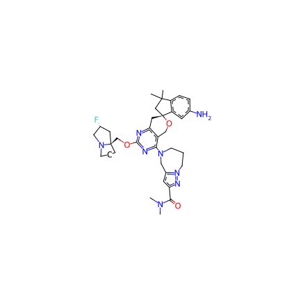 CN(C)C(=O)c1cc2n(n1)CCCN(c1nc(OC[C@@]34CCCN3C[C@H](F)C4)nc3c1CO[C@]1(C3)CC(C)(C)c3ccc(N)cc31)C2